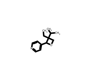 CCC1(C(C)C)COC1c1ccncc1